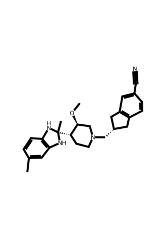 CO[C@H]1CN(C[C@H]2Cc3ccc(C#N)cc3C2)CC[C@@H]1C1(C)Nc2ccc(C)cc2N1